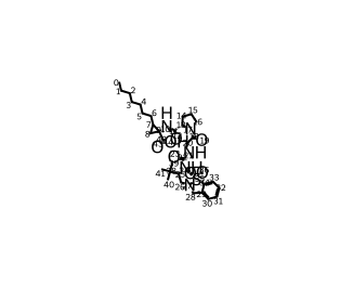 CCCCCCCC1C[C@]1(NC(=O)[C@@H]1CCCN1C(=O)CNC(=O)NC(CN1Cc2ccccc2S1(=O)=O)C(C)(C)C)C(=O)O